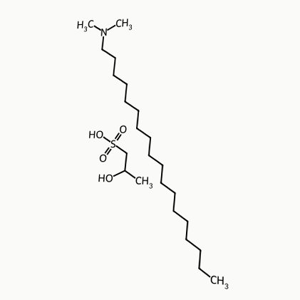 CC(O)CS(=O)(=O)O.CCCCCCCCCCCCCCCCCCN(C)C